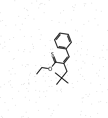 CCOC(=S)C(=Cc1ccccc1)CC(C)(C)C